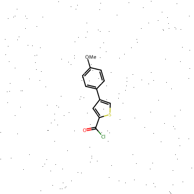 COc1ccc(-c2csc(C(=O)Cl)c2)cc1